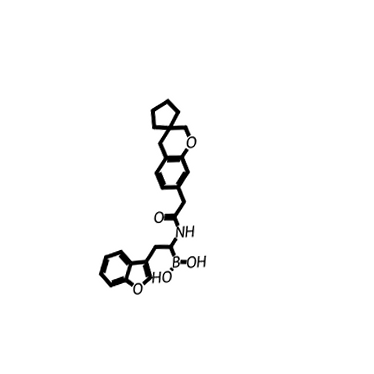 O=C(Cc1ccc2c(c1)OCC1(CCCC1)C2)NC(Cc1coc2ccccc12)B(O)O